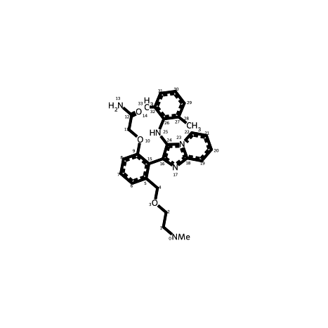 CNCCOCc1cccc(OCC(N)=O)c1-c1nc2ccccn2c1Nc1c(C)cccc1C